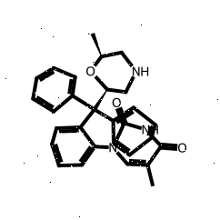 [CH2][C@H]1CNC[C@@H](C(c2ccccc2)(c2ccccc2)c2ccccc2-n2cc(C)c(=O)[nH]c2=O)O1